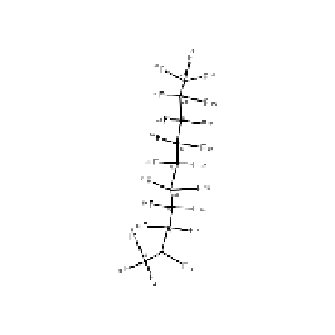 FC(C(F)(F)S)C(F)(F)C(F)(F)C(F)(F)C(F)(F)C(F)(F)C(F)(F)C(F)(F)C(F)(F)F